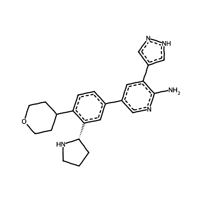 Nc1ncc(-c2ccc(C3CCOCC3)c([C@@H]3CCCN3)c2)cc1-c1cn[nH]c1